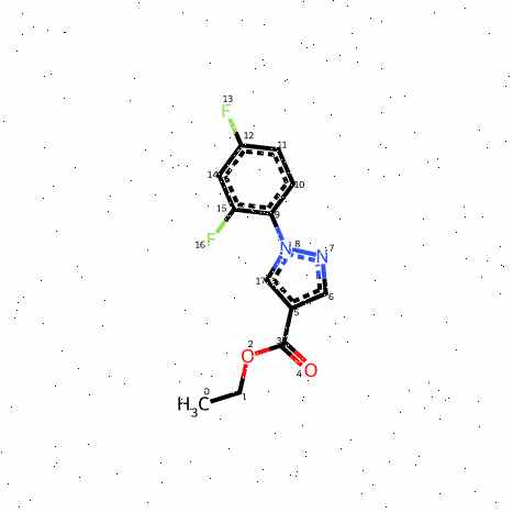 CCOC(=O)c1cnn(-c2ccc(F)cc2F)c1